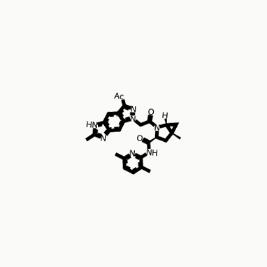 CC(=O)c1nn(CC(=O)N2[C@H](C(=O)Nc3nc(C)ccc3C)C[C@@]3(C)C[C@@H]23)c2cc3nc(C)[nH]c3cc12